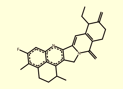 C=C1CCC2=C(C=C3c4nc5cc(F)c(C)c6c5c(c4CN3C2=C)C(C)CC6)C1CC